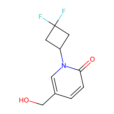 O=c1ccc(CO)cn1C1CC(F)(F)C1